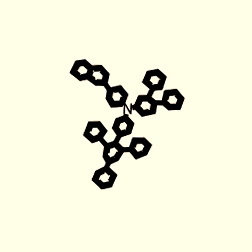 c1ccc(-c2cc(-c3ccccc3)c(-c3ccc(N(c4ccc(-c5ccc6ccccc6c5)cc4)c4ccc(-c5ccccc5)c(-c5ccccc5)c4)cc3)c(-c3ccccc3)c2)cc1